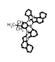 CC(C)(C)c1cc2c3c(c1)-n1c4ccccc4n4c5c(ccc6ccccc65)c(c14)B3c1cccc3c1n-2c1cc2ccc4ccccc4c2n31